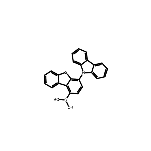 OB(O)c1ccc(-n2c3ccccc3c3ccccc32)c2sc3ccccc3c12